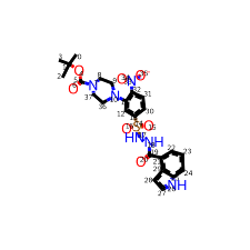 CC(C)(C)OC(=O)N1CCN(c2cc(S(=O)(=O)NNC(=O)c3cccc4[nH]ccc34)ccc2[N+](=O)[O-])CC1